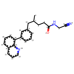 CC(CCC(=O)NCC#N)Cc1cccc(-c2cccc3cccnc23)c1